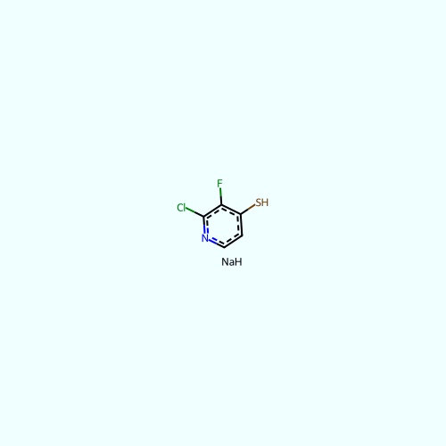 Fc1c(S)ccnc1Cl.[NaH]